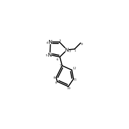 CCn1cnnc1-c1ccccc1